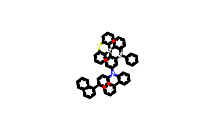 c1ccc(-c2ccccc2N(c2ccc(-c3cccc4ccccc34)cc2)c2ccc3c(c2)[SiH](c2ccccc2)c2ccccc2[Si]32c3ccccc3Sc3ccccc32)cc1